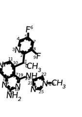 C[C@@H](c1ncc(F)cc1F)c1cncc2nc(N)nc(Nc3cn(C)cn3)c12